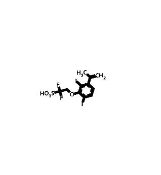 C=C(C)c1ccc(I)c(OCC(F)(F)S(=O)(=O)O)c1I